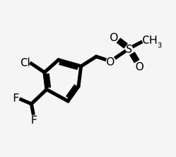 CS(=O)(=O)OCc1ccc(C(F)F)c(Cl)c1